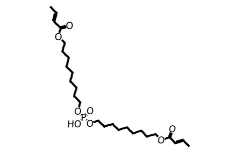 CC=CC(=O)OCCCCCCCCCOP(=O)(O)OCCCCCCCCCOC(=O)C=CC